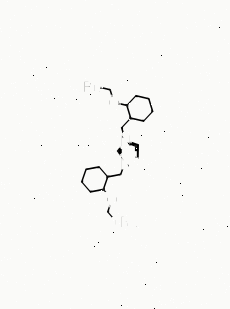 CC(C)(C)COC1CCCCC1Cn1cc[n+](CC2CCCCC2OCC(C)(C)C)c1